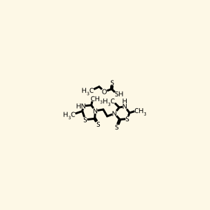 CC1NC(C)N(CCN2C(=S)SC(C)NC2C)C(=S)S1.CCOC(=S)S